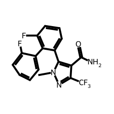 Cn1nc(C(F)(F)F)c(C(N)=O)c1-c1cccc(F)c1-c1ccccc1F